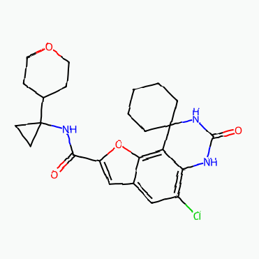 O=C1Nc2c(Cl)cc3cc(C(=O)NC4(C5CCOCC5)CC4)oc3c2C2(CCCCC2)N1